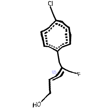 OC/C=C(\F)c1ccc(Cl)cc1